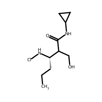 CCC[C@H](NCl)C(CO)C(=O)NC1CC1